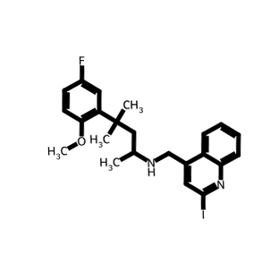 COc1ccc(F)cc1C(C)(C)CC(C)NCc1cc(I)nc2ccccc12